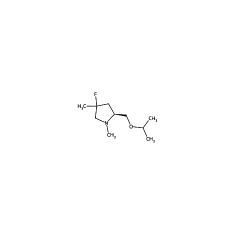 CC(C)OC[C@@H]1CC(C)(F)CN1C